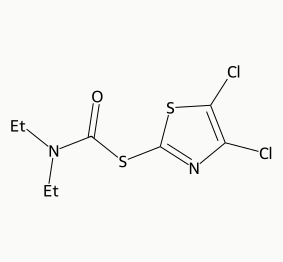 CCN(CC)C(=O)Sc1nc(Cl)c(Cl)s1